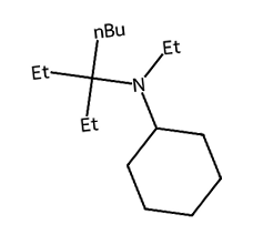 CCCCC(CC)(CC)N(CC)C1CCCCC1